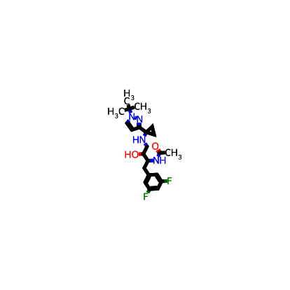 CC(=O)NC(Cc1cc(F)cc(F)c1)C(O)CNC1(c2ccn(C(C)(C)C)n2)CC1